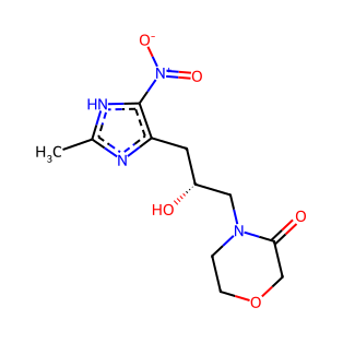 Cc1nc(C[C@@H](O)CN2CCOCC2=O)c([N+](=O)[O-])[nH]1